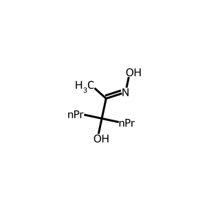 CCCC(O)(CCC)C(C)=NO